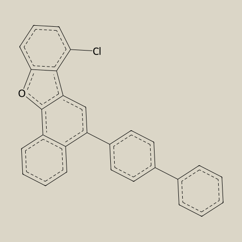 Clc1cccc2oc3c4ccccc4c(-c4ccc(-c5ccccc5)cc4)cc3c12